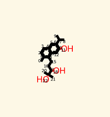 Cc1ccc2cc(C(C)C)c(O)cc2c1CCC(O)C(C)(C)O